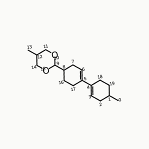 CC1CC=C(C2=CCC(C3OCC(C)CO3)CC2)CC1